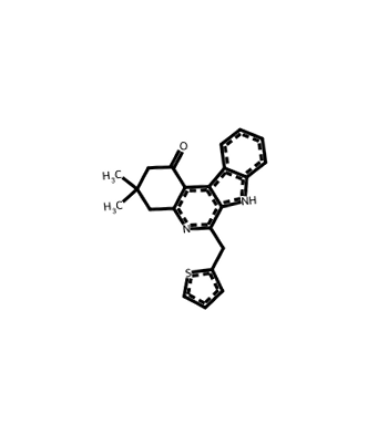 CC1(C)CC(=O)c2c(nc(Cc3cccs3)c3[nH]c4ccccc4c23)C1